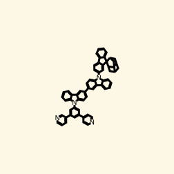 c1cncc(-c2cc(-c3ccncc3)cc(-n3c4ccccc4c4cc(-c5ccc6c(c5)c5ccccc5n6-c5ccc6c(c5)C5(c7ccccc7-6)C6CC7CC(C6)CC5C7)ccc43)c2)c1